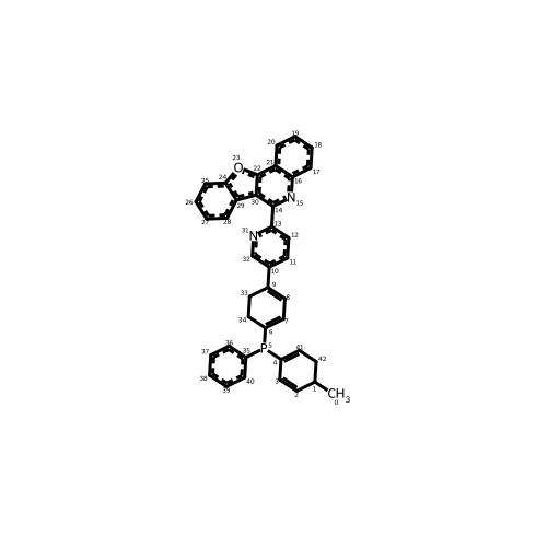 CC1C=CC(P(C2=CC=C(c3ccc(-c4nc5ccccc5c5oc6ccccc6c45)nc3)CC2)c2ccccc2)=CC1